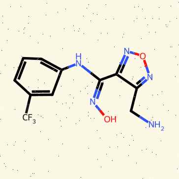 NCc1nonc1C(=NO)Nc1cccc(C(F)(F)F)c1